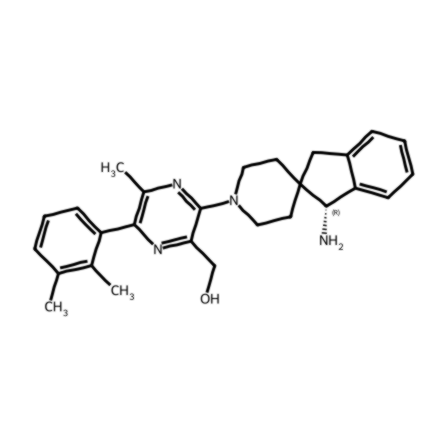 Cc1cccc(-c2nc(CO)c(N3CCC4(CC3)Cc3ccccc3[C@@H]4N)nc2C)c1C